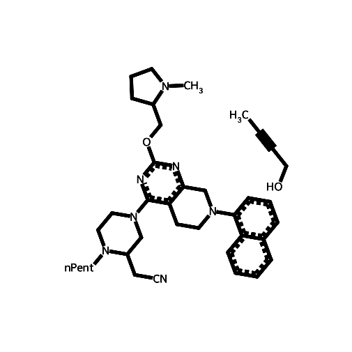 CC#CCO.CCCCCN1CCN(c2nc(OCC3CCCN3C)nc3c2CCN(c2cccc4ccccc24)C3)CC1CC#N